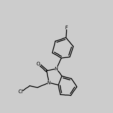 O=c1n(CCCl)c2ccccc2n1-c1ccc(F)cc1